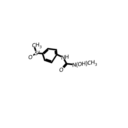 CN(O)C(=O)Nc1ccc([S+](C)[O-])cc1